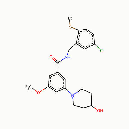 CCSc1ccc(Cl)cc1CNC(=O)c1cc(OC(F)(F)F)cc(N2CCC(O)CC2)c1